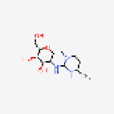 CN1CCC(C(F)(F)F)NC1N[C@@H]1CO[C@H](CO)[C@H](O)[C@@H]1O